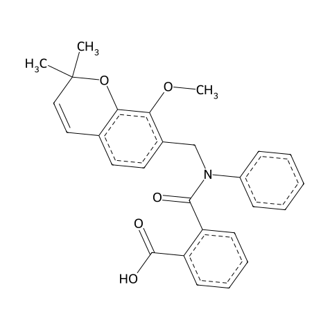 COc1c(CN(C(=O)c2ccccc2C(=O)O)c2ccccc2)ccc2c1OC(C)(C)C=C2